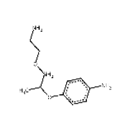 CC(Oc1ccc(N)cc1)[SiH2]OCCN